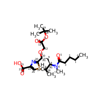 CCCCC(=O)N(C)[C@H](C[C@@H](OCC(=O)OC(C)(C)C)c1nc(C(=O)O)cs1)C(C)C